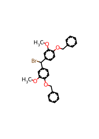 COc1cc(C(Br)c2ccc(OCc3ccccc3)c(OC)c2)ccc1OCc1ccccc1